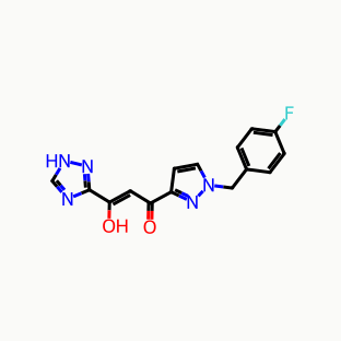 O=C(C=C(O)c1nc[nH]n1)c1ccn(Cc2ccc(F)cc2)n1